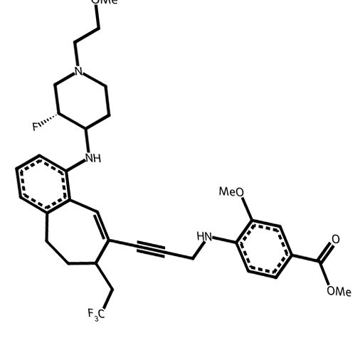 COCCN1CCC(Nc2cccc3c2C=C(C#CCNc2ccc(C(=O)OC)cc2OC)C(CC(F)(F)F)CC3)[C@H](F)C1